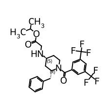 CC(C)OC(=O)CN[C@H]1CCN(C(=O)c2cc(C(F)(F)F)cc(C(F)(F)F)c2)[C@H](Cc2ccccc2)C1